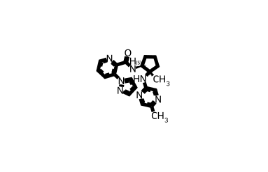 Cc1cnc(N[C@@]2(C)CCC[C@@H]2NC(=O)c2ncccc2-n2cccn2)cn1